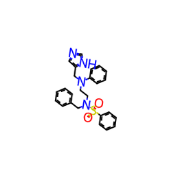 O=S(=O)(c1ccccc1)N(CCN(Cc1cnc[nH]1)c1ccccc1)Cc1ccccc1